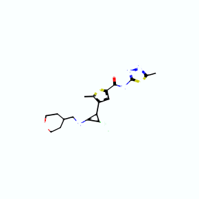 Cc1nnc(NC(=O)c2cc(C3CC3NCC3CCOCC3)c(C)s2)s1.Cl.Cl